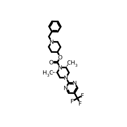 C[C@@H]1CN(c2ncc(C(F)(F)F)cn2)C[C@H](C)N1C(=O)OC1CCN(Cc2ccccc2)CC1